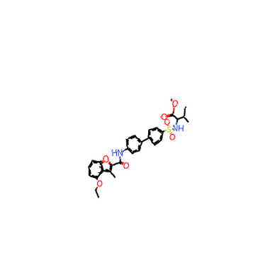 CCOc1cccc2oc(C(=O)Nc3ccc(-c4ccc(S(=O)(=O)NC(C(=O)OC)C(C)C)cc4)cc3)c(C)c12